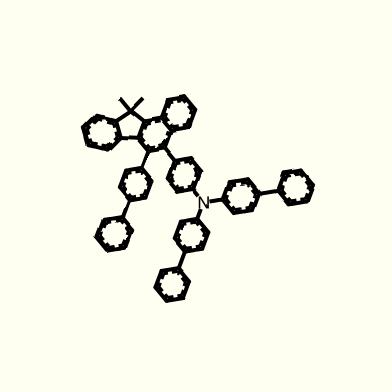 CC1(C)c2ccccc2-c2c(-c3ccc(-c4ccccc4)cc3)c(-c3ccc(N(c4ccc(-c5ccccc5)cc4)c4ccc(-c5ccccc5)cc4)cc3)c3ccccc3c21